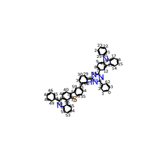 c1ccc(C2=NC(c3ccc4c(c3)c3ccccc3n4-c3ccccc3)=NC(c3cccc(-c4ccc5sc6c(ccc7c(-c8ccccc8)nc8ccccc8c76)c5c4)c3)N2)cc1